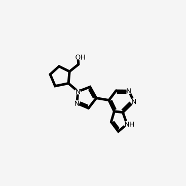 OCC1CCCC1n1cc(-c2cnnc3[nH]ccc23)cn1